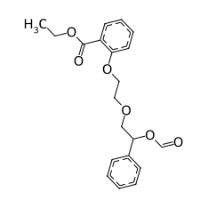 CCOC(=O)c1ccccc1OCCOCC(OC=O)c1ccccc1